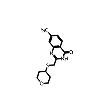 N#Cc1ccc2c(=O)[nH]c(CSC3CCOCC3)nc2c1